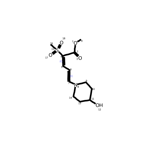 COC(=O)/C(=C\C=C\N1CCC(O)CC1)S(C)(=O)=O